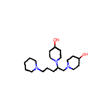 OC1CCN(CC(CCCN2CCCCC2)N2CCC(O)CC2)CC1